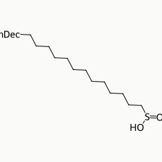 CCCCCCCCCCCCCCCCCCCCCCCS(=O)O